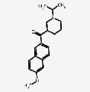 COc1ccc2cc(C(=O)C3CCCN(C(C)C)C3)ccc2c1